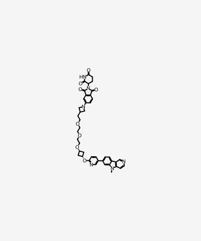 Cn1c2ccncc2c2ccc(-c3ccc(O[C@H]4C[C@H](OCCOCCOCCC5CN(c6ccc7c(c6)C(=O)N(C6CCC(=O)NC6=O)C7=O)C5)C4)nc3)cc21